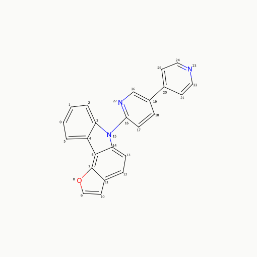 c1ccc2c(c1)c1c3occc3ccc1n2-c1ccc(-c2ccncc2)cn1